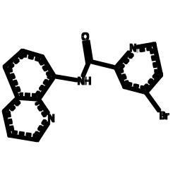 O=C(Nc1cccc2cccnc12)c1cc(Br)ccn1